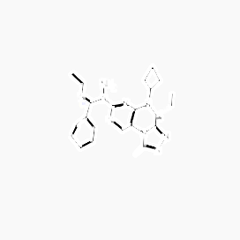 C=C/N=C(/c1ccccc1)N(N)c1ncc2c(n1)N(C1CCC1)[C@H](CC)c1nnc(C)n1-2